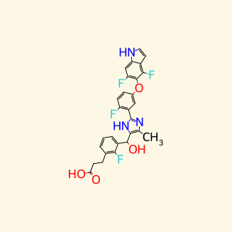 Cc1nc(-c2cc(Oc3c(F)cc4[nH]ccc4c3F)ccc2F)[nH]c1C(O)c1cccc(CCC(=O)O)c1F